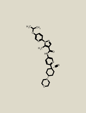 Cc1c(C(=O)Nc2ccc([C@]3(C#N)CC[C@@H](N4CCOCC4)CC3)nc2)cnn1-c1ccc(OC(C)C)cn1